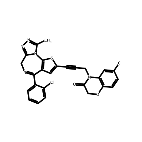 Cc1nnc2n1-c1sc(C#CCN3C(=O)COc4ccc(Cl)cc43)cc1C(c1ccccc1Cl)=NC2